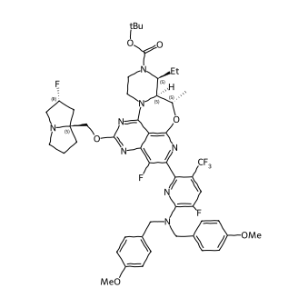 CC[C@H]1[C@H]2[C@H](C)Oc3nc(-c4nc(N(Cc5ccc(OC)cc5)Cc5ccc(OC)cc5)c(F)cc4C(F)(F)F)c(F)c4nc(OC[C@@]56CCCN5C[C@H](F)C6)nc(c34)N2CCN1C(=O)OC(C)(C)C